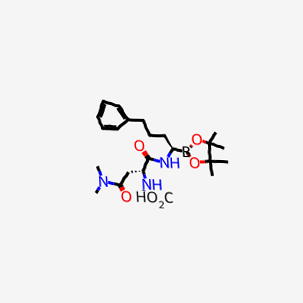 CN(C)C(=O)C[C@@H](NC(=O)O)C(=O)N[C@@H](CCCc1ccccc1)B1OC(C)(C)C(C)(C)O1